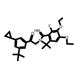 CCOc1cc2c(c(F)c1OCC)C(=N)N(CC(=O)c1cc(C3CC3)cc(C(C)(C)C)c1)C2(C)C